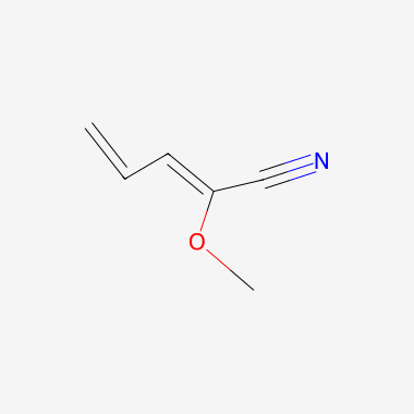 C=C/C=C(/C#N)OC